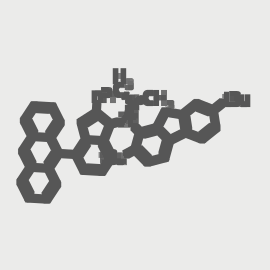 CCCC1=Cc2c(-c3c4ccccc4cc4ccccc34)cccc2[CH]1[Zr]([c]1c(C(C)(C)C)ccc2c1Cc1cc(C(C)(C)C)ccc1-2)[SiH](C)C